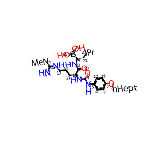 CCCCCCCOc1ccc(NC(=O)N[C@@H](CCCNC(=N)NC)C(=O)N[C@@H](CC(C)C)B(O)O)cc1